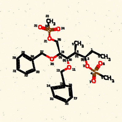 CC[C@@H](OS(C)(=O)=O)[C@H](C)[C@H](OCc1ccccc1)[C@H](COS(C)(=O)=O)OCc1ccccc1